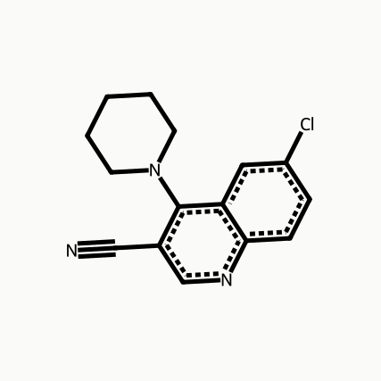 N#Cc1cnc2ccc(Cl)cc2c1N1CCCCC1